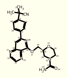 CC(C)(C#N)c1ccc(-c2cc3nccnc3c(OC[C@@H]3CN(C(N)=O)CCO3)n2)cc1